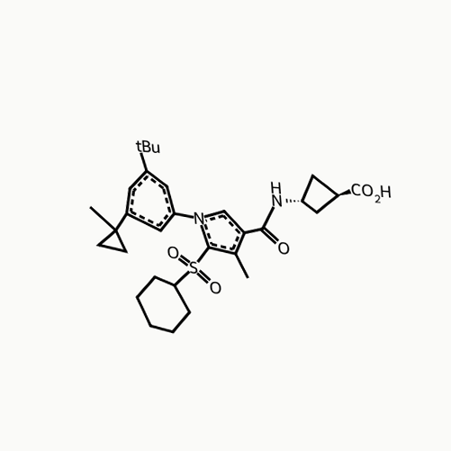 Cc1c(C(=O)N[C@H]2C[C@H](C(=O)O)C2)cn(-c2cc(C(C)(C)C)cc(C3(C)CC3)c2)c1S(=O)(=O)C1CCCCC1